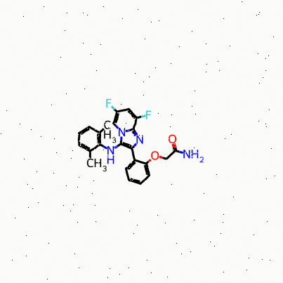 Cc1cccc(C)c1Nc1c(-c2ccccc2OCC(N)=O)nc2c(F)cc(F)cn12